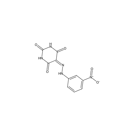 O=C1NC(=O)C(=NNc2cccc([N+](=O)[O-])c2)C(=O)N1